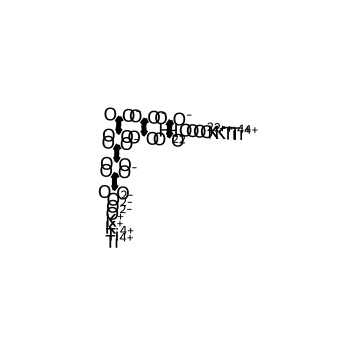 O.O.O=C([O-])C(=O)[O-].O=C([O-])C(=O)[O-].O=C([O-])C(=O)[O-].O=C([O-])C(=O)[O-].O=C([O-])C(=O)[O-].[K+].[K+].[K+].[K+].[O-2].[O-2].[O-2].[O-2].[O-2].[Ti+4].[Ti+4].[Ti+4].[Ti+4]